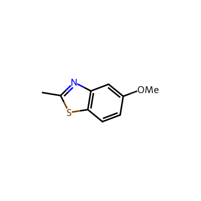 COc1ccc2sc(C)nc2c1